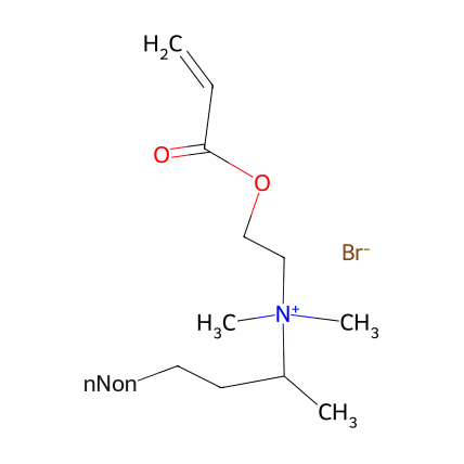 C=CC(=O)OCC[N+](C)(C)C(C)CCCCCCCCCCC.[Br-]